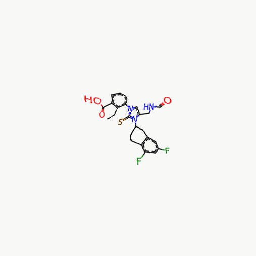 CCc1c(C(=O)O)cccc1-n1cc(CNC=O)n(C2CCc3c(F)cc(F)cc3C2)c1=S